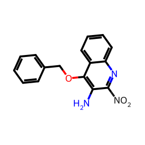 Nc1c([N+](=O)[O-])nc2ccccc2c1OCc1ccccc1